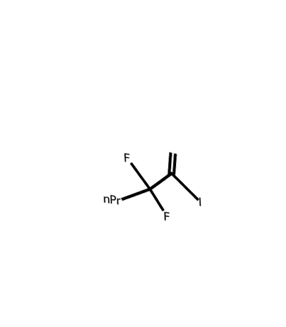 C=C(I)C(F)(F)CCC